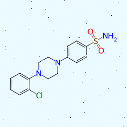 NS(=O)(=O)c1ccc(N2CCN(c3ccccc3Cl)CC2)cc1